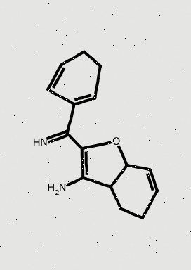 N=C(C1=CCCC=C1)C1=C(N)C2CCC=CC2O1